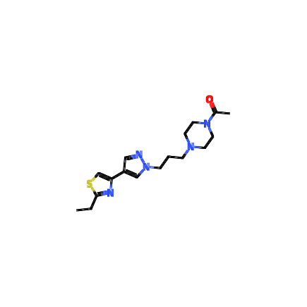 CCc1nc(-c2cnn(CCCN3CCN(C(C)=O)CC3)c2)cs1